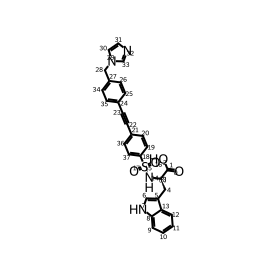 O=C(O)[C@@H](Cc1c[nH]c2ccccc12)NS(=O)(=O)c1ccc(C#Cc2ccc(Cn3ccnc3)cc2)cc1